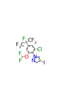 FC(F)Oc1cc(C(F)(C(F)(F)F)C(F)(F)F)cc(Cl)c1-n1cc(I)cn1